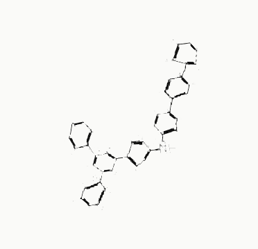 c1ccc(-c2ccc(-c3ccc(Nc4ccc(-c5cc(-c6ccccc6)cc(-c6ccccc6)c5)cc4)cc3)cc2)cc1